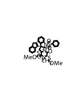 COCS[C@H]1C(=O)N2[C@H]3N(S(=O)(=O)c4ccccc4)c4ccccc4[C@@]3(C3=CCc4ccccc43)C[C@]2(SCOC)C(=O)N1C